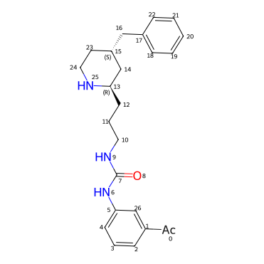 CC(=O)c1cccc(NC(=O)NCCC[C@@H]2C[C@@H](Cc3ccccc3)CCN2)c1